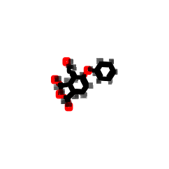 O=C=C1C(Oc2ccccc2)=CC=C2C(=O)OC(=O)C12